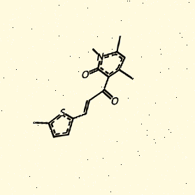 Cc1ccc(/C=C/C(=O)c2c(C)cc(C)n(C)c2=O)s1